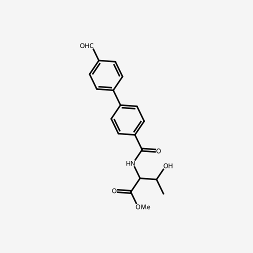 COC(=O)C(NC(=O)c1ccc(-c2ccc(C=O)cc2)cc1)C(C)O